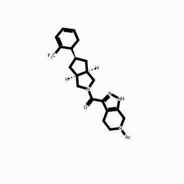 CC(=O)N1CCc2c(C(=O)N3C[C@H]4C[C@@H](C5CC=CC=C5C(F)(F)F)C[C@H]4C3)n[nH]c2C1